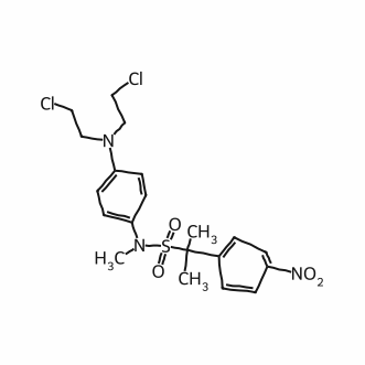 CN(c1ccc(N(CCCl)CCCl)cc1)S(=O)(=O)C(C)(C)c1ccc([N+](=O)[O-])cc1